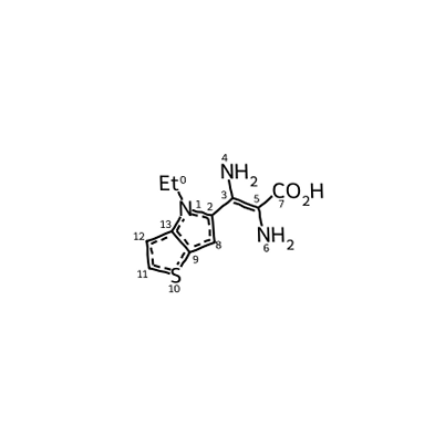 CCn1c(C(N)=C(N)C(=O)O)cc2sccc21